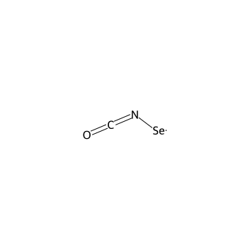 O=C=N[Se]